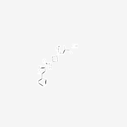 C=NN(/C=C(\C)[C@H](C)O)C1CC(NC(=O)c2cc(-c3ccccc3)on2)C1